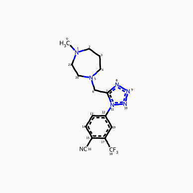 CN1CCCN(Cc2nnnn2-c2ccc(C#N)c(C(F)(F)F)c2)CC1